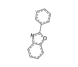 [c]1cccc(-c2nc3ccccc3o2)c1